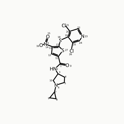 O=C(NC1CCN(C2CC2)C1)c1cc([N+](=O)[O-])c(Sc2c(Cl)cncc2Cl)s1